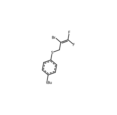 CC(C)(C)c1ccc(SCC(Br)=C(F)F)cc1